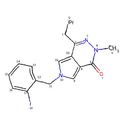 CC(C)Cc1nn(C)c(=O)c2cn(Cc3ccccc3I)cc12